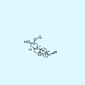 C[C@]12C[C@H](OC3CC3)[C@@H](O)C[C@@H]1CC[C@@H]1[C@@H]2CC[C@]2(C)[C@@H](C#N)CC[C@@H]12